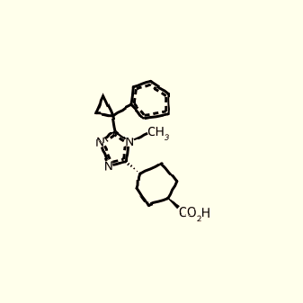 Cn1c(C2(c3ccccc3)CC2)nnc1[C@H]1CC[C@H](C(=O)O)CC1